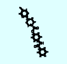 Cc1ccc(N2CCN(C(=O)Oc3ccc(NC(=O)c4ccccc4)cc3)CC2)nc1